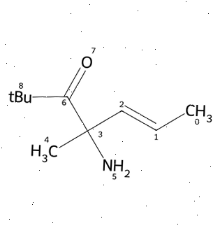 CC=CC(C)(N)C(=O)C(C)(C)C